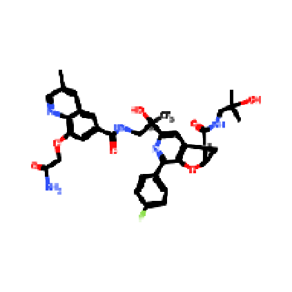 Cc1cnc2c(OCC(N)=O)cc(C(=O)NC[C@](O)(c3cc4c(c(-c5ccc(F)cc5)n3)OC3C[C@@]43C(=O)NCC(C)(C)O)C(F)(F)F)cc2c1